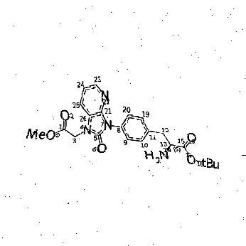 COC(=O)Cn1c(=O)n(-c2ccc(C[C@H](N)C(=O)OC(C)(C)C)cc2)c2ncccc21